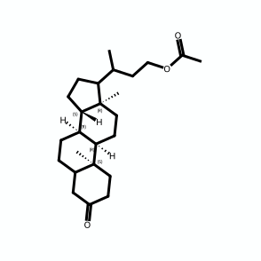 CC(=O)OCCC(C)C1CC[C@H]2[C@@H]3CCC4CC(=O)CC[C@]4(C)[C@@H]3CC[C@]12C